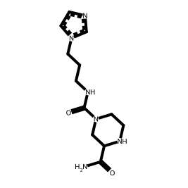 NC(=O)C1CN(C(=O)NCCCn2ccnc2)CCN1